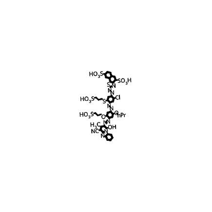 CCCOc1cc(N=Nc2c(C)c(C#N)c3nc4ccccc4n3c2O)c(OCCCS(=O)(=O)O)cc1N=Nc1cc(Cl)c(N=Nc2nc3c(S(=O)(=O)O)cc4ccc(S(=O)(=O)O)cc4c3s2)cc1SCCCS(=O)(=O)O